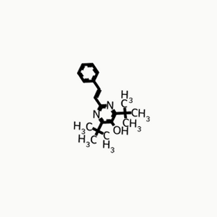 CC(C)(C)c1nc(C=Cc2ccccc2)nc(C(C)(C)C)c1O